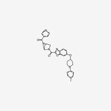 Cc1ccc(N2CCC(Oc3ccc4nc(C(=O)N5CC6CC5CN6C(=O)c5ccncc5)oc4c3)CC2)cc1